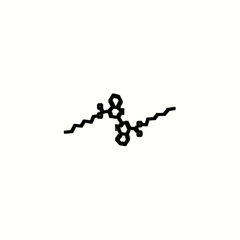 CCCCCCCOC(=O)c1cc(-c2cc(C(=O)OCCCCCCC)c3ccccc3n2)nc2ccccc12